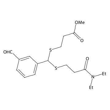 CCN(CC)C(=O)CCSC(SCCC(=O)OC)c1cccc(C=O)c1